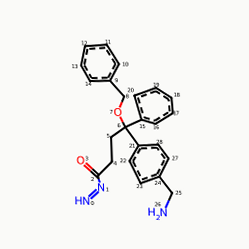 N=NC(=O)CCC(OCc1ccccc1)(c1ccccc1)c1ccc(CN)cc1